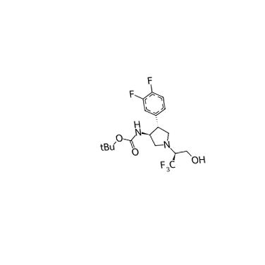 CC(C)(C)OC(=O)N[C@@H]1CN([C@@H](CO)C(F)(F)F)C[C@H]1c1ccc(F)c(F)c1